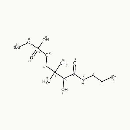 CC(C)CCNC(=O)C(O)C(C)(C)COP(=O)(O)OC(C)(C)C